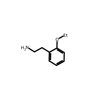 CCOc1ccccc1CCN